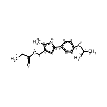 CCC(=O)OCc1sc(-c2ccc(OC(C)C)cc2)nc1C